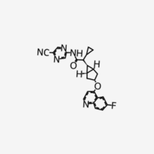 N#Cc1cnc(NC(=O)C(C2CC2)[C@H]2[C@@H]3C[C@@H](Oc4ccnc5ccc(F)cc45)C[C@@H]32)cn1